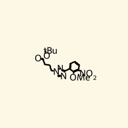 COc1c(-c2ncn(CCCC(=O)OC(C)(C)C)n2)cccc1[N+](=O)[O-]